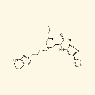 COC[C@@H](F)CN(CCCCc1ccc2c(n1)NCCC2)CC[C@H](Nc1cc(-n2cccn2)ncn1)C(=O)O